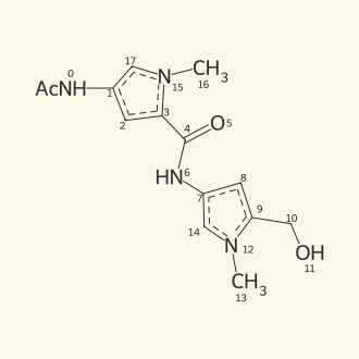 CC(=O)Nc1cc(C(=O)Nc2cc(CO)n(C)c2)n(C)c1